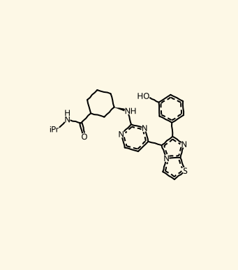 CC(C)NC(=O)C1CCC[C@@H](Nc2nccc(-c3c(-c4cccc(O)c4)nc4sccn34)n2)C1